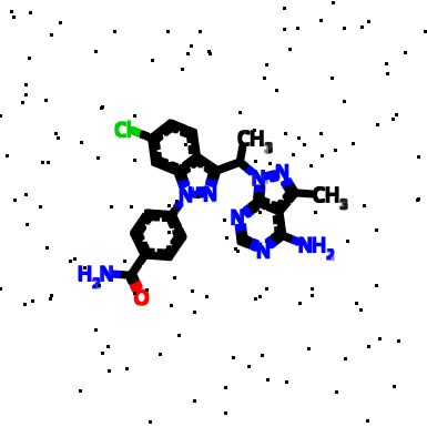 Cc1nn(C(C)c2nn(-c3ccc(C(N)=O)cc3)c3cc(Cl)ccc23)c2ncnc(N)c12